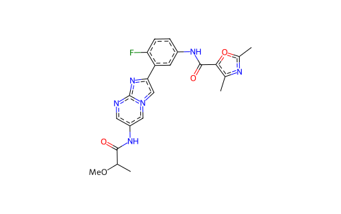 COC(C)C(=O)Nc1cnc2nc(-c3cc(NC(=O)c4oc(C)nc4C)ccc3F)cn2c1